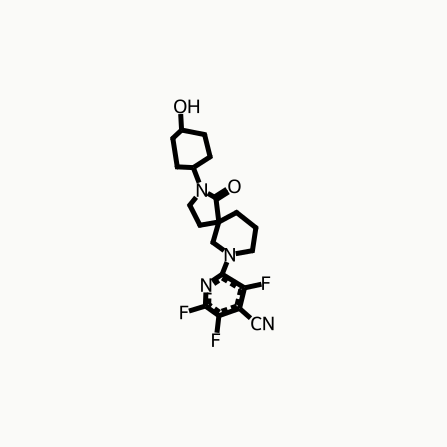 N#Cc1c(F)c(F)nc(N2CCCC3(CCN(C4CCC(O)CC4)C3=O)C2)c1F